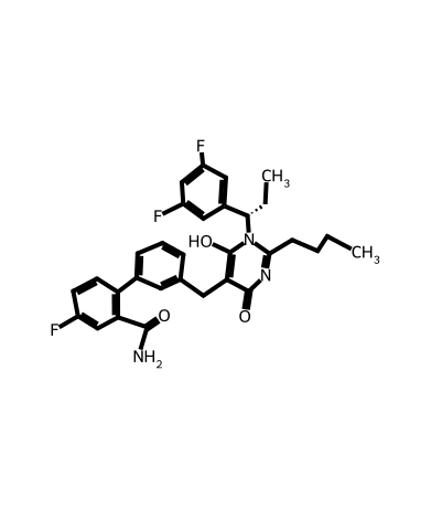 CCCCc1nc(=O)c(Cc2cccc(-c3ccc(F)cc3C(N)=O)c2)c(O)n1[C@@H](CC)c1cc(F)cc(F)c1